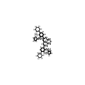 C1=NC2=NC(c3ccc(N4CCCCC4)cc3Nc3ccc[nH]3)=CC3=CC(c4ccc(C5CCCCC5)cc4Nc4ccc[nH]4)=NC(=N1)N32